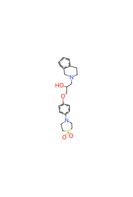 O=S1(=O)CCN(c2ccc(OCC(O)CN3CCc4ccccc4C3)cc2)CC1